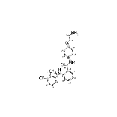 Cc1c(Cl)cccc1Nc1ccccc1C(=O)Nc1ccc(OCCN)cc1